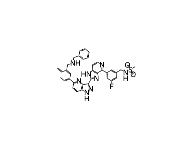 C=C/C(=C\C(=C/C)c1ccc2[nH]nc(-c3nc4c(-c5cc(F)cc(CNS(C)(=O)=O)c5)nccc4[nH]3)c2n1)CNCc1ccccc1